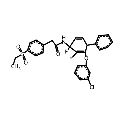 CCS(=O)(=O)c1ccc(CC(=O)NC2(F)C=CC(c3ccccc3)C(Oc3cccc(Cl)c3)=C2F)cc1